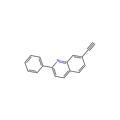 C#Cc1ccc2ccc(-c3ccccc3)nc2c1